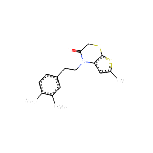 COc1ccc(CCN2C(=O)CSc3sc(C#N)cc32)cc1OC